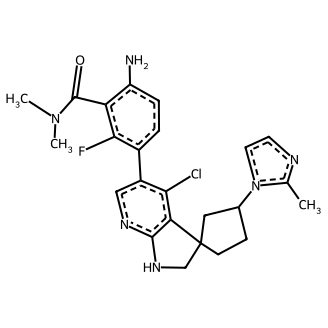 Cc1nccn1C1CCC2(CNc3ncc(-c4ccc(N)c(C(=O)N(C)C)c4F)c(Cl)c32)C1